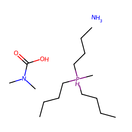 CCCC[PH](C)(CCCC)CCCC.CN(C)C(=O)O.N